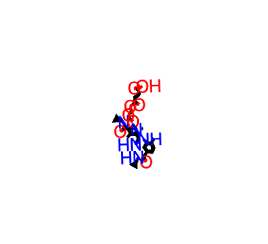 Cc1ccc(C(=O)NC2CC2)cc1NC(=N)c1c(C)c(C(=O)N(C(=O)OCOC(=O)/C=C/C(=O)O)C2CC2)cn1C